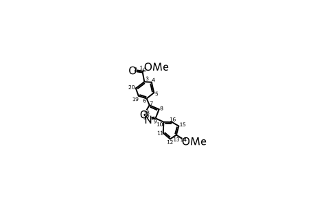 COC(=O)c1ccc(-c2cc(-c3ccc(OC)cc3)no2)cc1